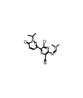 CC(C)n1nc(-c2nc(C#N)c(/N=C\N(C)C)nc2Cl)ccc1=O